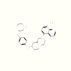 C[C@@H]1CN(c2ccc(C#N)c3ncccc23)C[C@@H]2C[C@H](Nc3ccc(C[C@@H]4CNCCO4)cc3)CCN21